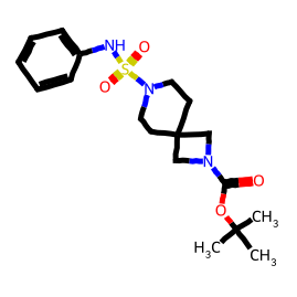 CC(C)(C)OC(=O)N1CC2(CCN(S(=O)(=O)Nc3ccccc3)CC2)C1